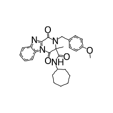 COc1ccc(CN2C(=O)c3nc4ccccc4n3C(=O)C2(C)C(=O)NC2CCCCCC2)cc1